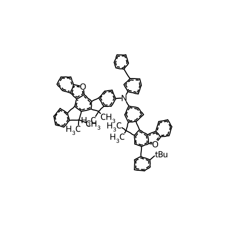 CC(C)(C)c1ccccc1-c1cc2c(c3c1oc1ccccc13)-c1ccc(N(c3cccc(-c4ccccc4)c3)c3ccc4c(c3)C(C)(C)c3c5c(c6c(oc7ccccc76)c3-4)-c3ccccc3C5(C)C)cc1C2(C)C